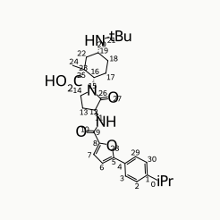 CC(C)c1ccc(-c2ccc(C(=O)N[C@H]3CCN([C@H]4CC[C@@H](NC(C)(C)C)C[C@@]4(C)C(=O)O)C3=O)o2)cc1